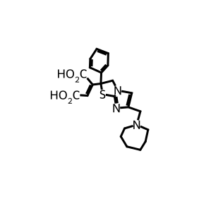 O=C(O)C=C(C(=O)O)C1(c2ccccc2)Cn2cc(CN3CCCCCC3)nc2S1